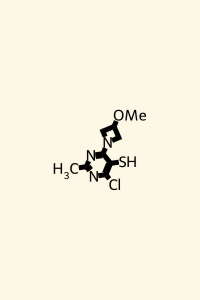 COC1CN(c2nc(C)nc(Cl)c2S)C1